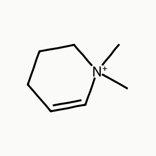 C[N+]1(C)C=CCCC1